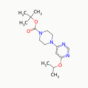 CC(C)Oc1cc(N2CCN(C(=O)OC(C)(C)C)CC2)ncn1